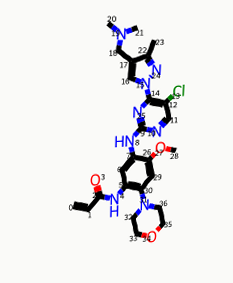 C=CC(=O)Nc1cc(Nc2ncc(Cl)c(-n3cc(CN(C)C)c(C)n3)n2)c(OC)cc1N1CCOCC1